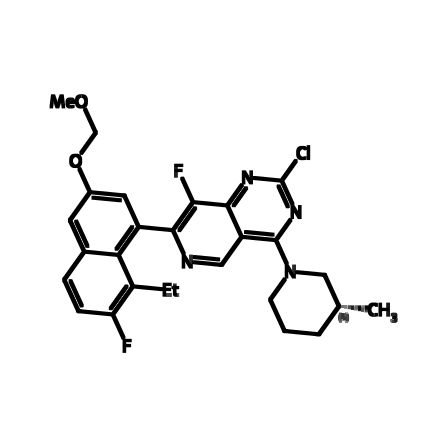 CCc1c(F)ccc2cc(OCOC)cc(-c3ncc4c(N5CCC[C@@H](C)C5)nc(Cl)nc4c3F)c12